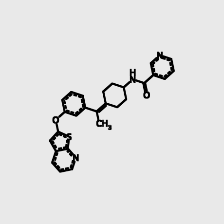 CC(=C1CCC(NC(=O)c2cccnc2)CC1)c1cccc(Oc2cc3cccnc3s2)c1